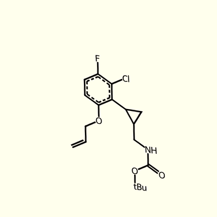 C=CCOc1ccc(F)c(Cl)c1C1CC1CNC(=O)OC(C)(C)C